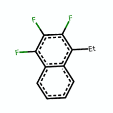 [CH2]Cc1c(F)c(F)c(F)c2ccccc12